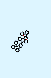 c1ccc(-c2cccc(N(c3ccccc3)c3ccc4c(c3)C(c3ccccc3)(c3ccccc3)c3ccccc3-4)c2-c2cccc3c2sc2ccccc23)cc1